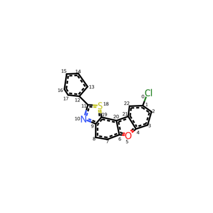 Clc1ccc2oc3ccc4nc(-c5ccccc5)sc4c3c2c1